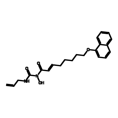 C=CCNC(=O)N(O)C(=O)C=CCCCCCOc1cccc2ccccc12